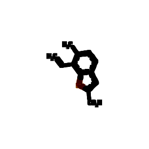 C=Cc1c(C)ccc2cc(C(=O)O)sc12